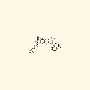 Cc1ccc(C(NC(=O)Cc2ccc3[nH]cc(CCC(=O)OC(C)(C)C)c3c2)C2CC2)c2ccccc12